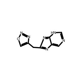 c1ncc2nc(Cc3conn3)nc-2[nH]1